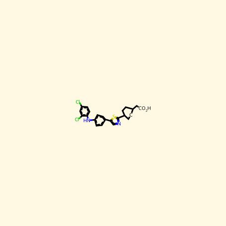 O=C(O)CC1CCC(c2ncc(-c3ccc(Nc4ccc(Cl)cc4Cl)cc3)s2)CC1